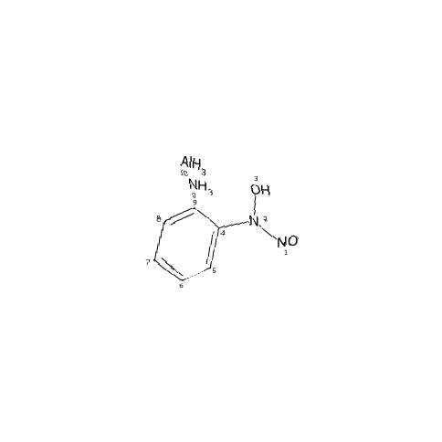 N.O=NN(O)c1ccccc1.[AlH3]